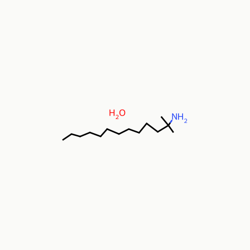 CCCCCCCCCCCC(C)(C)N.O